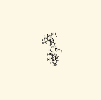 COCCc1nc2c(N)nc3ccccc3c2n1CCCCNC(=O)Nc1ccccc1Br